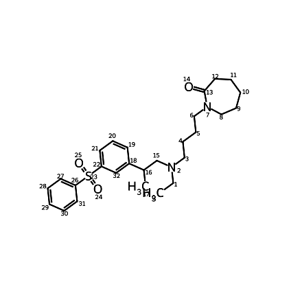 CCN(CCCCN1CCCCCC1=O)CC(C)c1cccc(S(=O)(=O)c2ccccc2)c1